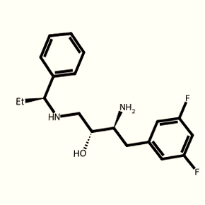 CC[C@H](NC[C@@H](O)[C@@H](N)Cc1cc(F)cc(F)c1)c1ccccc1